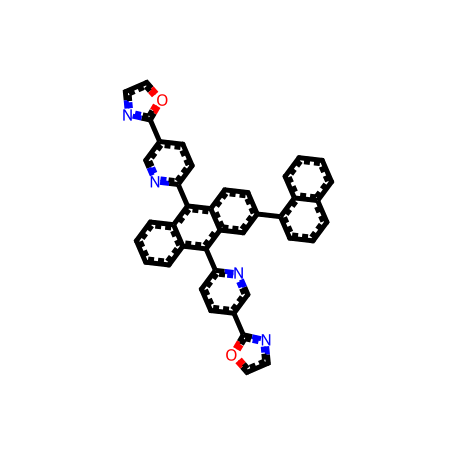 c1ccc2c(-c3ccc4c(-c5ccc(-c6ncco6)cn5)c5ccccc5c(-c5ccc(-c6ncco6)cn5)c4c3)cccc2c1